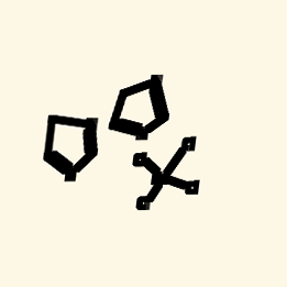 C1=NC=NC1.C1=NC=NC1.[Cl][Sn]([Cl])([Cl])[Cl]